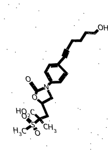 CC(CC1CN(c2ccc(C#CCCCCO)cc2)C(=O)O1)(C(=O)O)S(C)(=O)=O